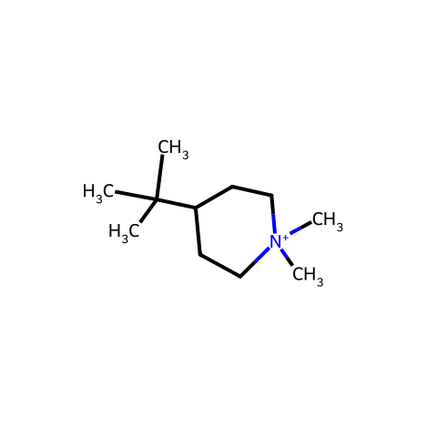 CC(C)(C)C1CC[N+](C)(C)CC1